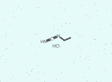 CCN=C=N.Cl